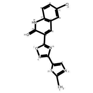 Cc1ncc(-c2noc(-c3cc4cc(Cl)ccc4[nH]c3=O)n2)s1